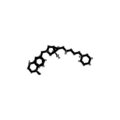 CN1CCOc2cc(CN3CC4C(COCCCN5CCCCC5)[C@H]4C3)ccc21